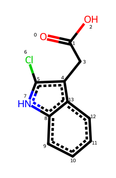 O=C(O)Cc1c(Cl)[nH]c2ccccc12